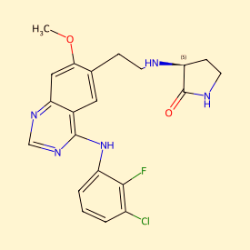 COc1cc2ncnc(Nc3cccc(Cl)c3F)c2cc1CCN[C@H]1CCNC1=O